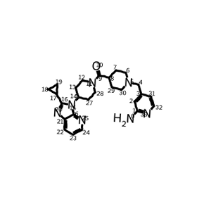 Nc1cc(CN2CCC(C(=O)N3CCC(n4c(C5CC5)nc5cccnc54)CC3)CC2)ccn1